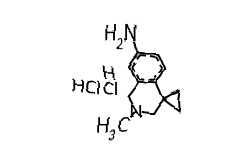 CN1Cc2cc(N)ccc2C2(CC2)C1.Cl.Cl